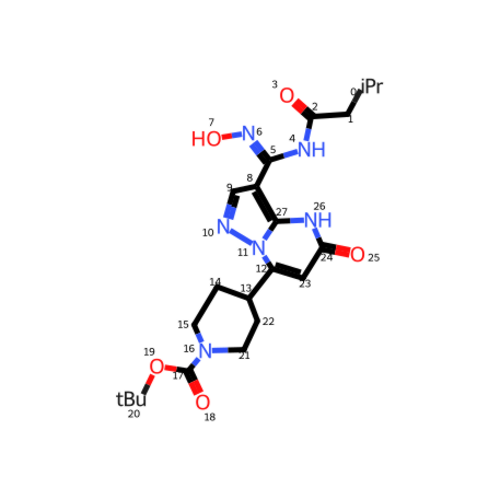 CC(C)CC(=O)N/C(=N/O)c1cnn2c(C3CCN(C(=O)OC(C)(C)C)CC3)cc(=O)[nH]c12